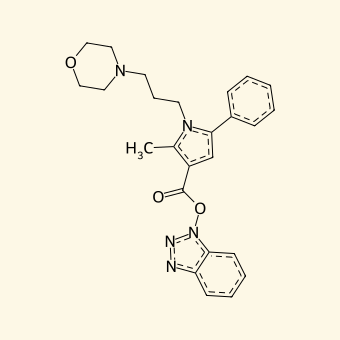 Cc1c(C(=O)On2nnc3ccccc32)cc(-c2ccccc2)n1CCCN1CCOCC1